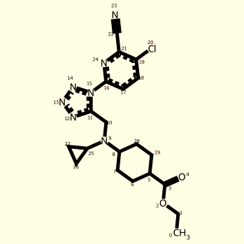 CCOC(=O)C1CCC(N(Cc2nnnn2-c2ccc(Cl)c(C#N)n2)C2CC2)CC1